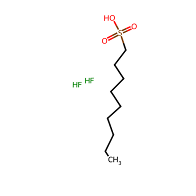 CCCCCCCCCS(=O)(=O)O.F.F